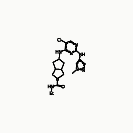 CCNC(=O)N1CC2CC(Nc3nc(Nc4cnn(C)c4)ncc3Cl)CC2C1